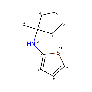 CCC(C)(CC)Nc1cccs1